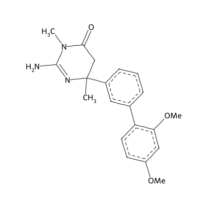 COc1ccc(-c2cccc(C3(C)CC(=O)N(C)C(N)=N3)c2)c(OC)c1